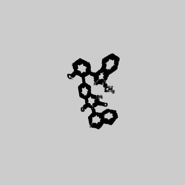 Cn1nc(-c2cccc(Cl)c2-c2ccc3c(=O)n(-c4cncc5ccccc45)c(=O)[nH]c3c2)c2ccccc21